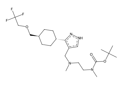 CN(CCN(C)C(=O)OC(C)(C)C)Cc1c[nH]nc1[C@H]1CC[C@H](COCC(F)(F)F)CC1